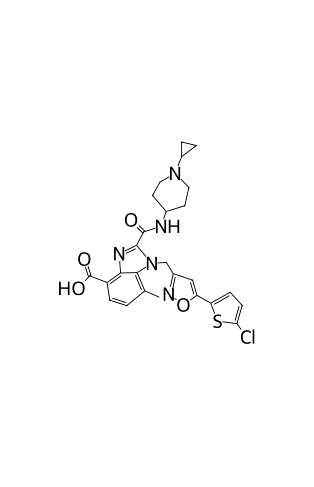 Cc1ccc(C(=O)O)c2nc(C(=O)NC3CCN(C4CC4)CC3)n(Cc3cc(-c4ccc(Cl)s4)on3)c12